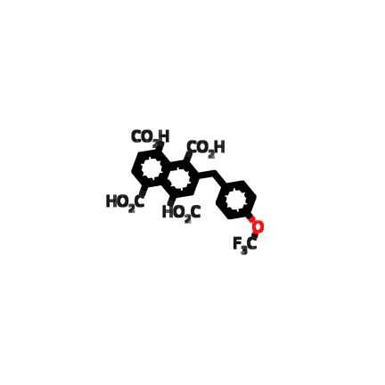 O=C(O)c1ccc(C(=O)O)c2c(C(=O)O)c(Cc3ccc(OC(F)(F)F)cc3)cc(C(=O)O)c12